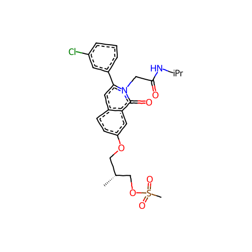 CC(C)NC(=O)Cn1c(-c2cccc(Cl)c2)cc2ccc(OC[C@@H](C)COS(C)(=O)=O)cc2c1=O